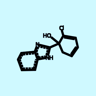 OC1(c2nc3ccccc3[nH]2)CC=CC=C1Cl